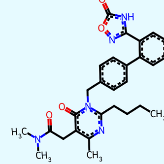 CCCCc1nc(C)c(CC(=O)N(C)C)c(=O)n1Cc1ccc(-c2ccccc2-c2noc(=O)[nH]2)cc1